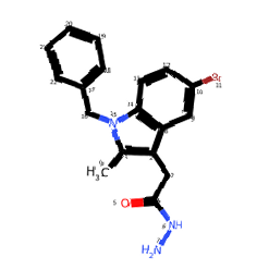 Cc1c(CC(=O)NN)c2cc(Br)ccc2n1Cc1ccccc1